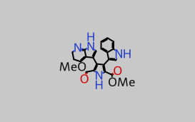 COC(=O)c1[nH]c(C(=O)OC)c(-c2c[nH]c3ccccc23)c1-c1c[nH]c2c1=CCCN=2